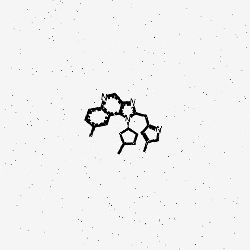 CC1=CC(Cc2nc3cnc4ccc(C)cc4c3n2[C@H]2CCC(C)C2)=NC1